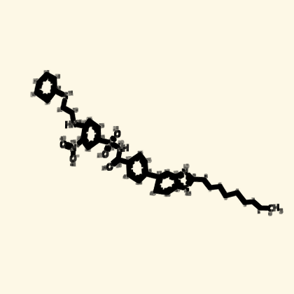 CCCCCCCCCc1nc2cc(-c3ccc(C(=O)NS(=O)(=O)c4ccc(NCCSc5ccccc5)c([N+](=O)[O-])c4)cc3)ccc2s1